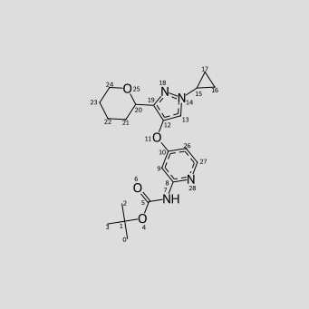 CC(C)(C)OC(=O)Nc1cc(Oc2cn(C3CC3)nc2C2CCCCO2)ccn1